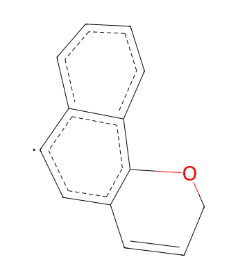 [c]1cc2c(c3ccccc13)OCC=C2